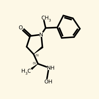 CC(c1ccccc1)N1C[C@@H]([C@H](C)NO)CC1=O